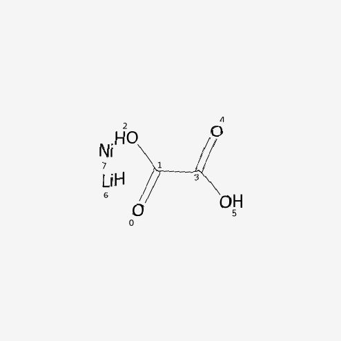 O=C(O)C(=O)O.[LiH].[Ni]